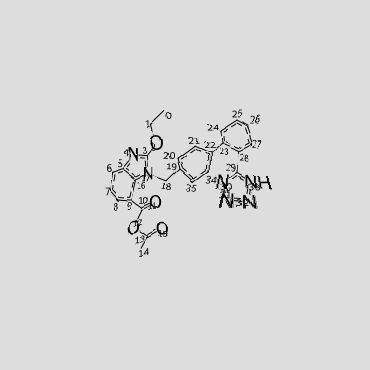 CCOc1nc2cccc(C(=O)OC(C)=O)c2n1Cc1ccc(-c2ccccc2-c2nnn[nH]2)cc1